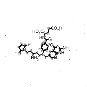 Nc1nc(=O)c2nc(CN(CCC(N)CCN3C(=O)C=CC3=O)c3ccc(C(=O)N[C@@H](CCC(=O)O)C(=O)O)cc3)cnc2[nH]1